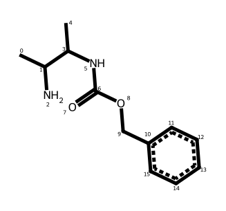 CC(N)C(C)NC(=O)OCc1ccccc1